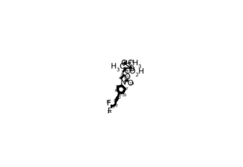 C[C@@](C[C@H]1CN(c2ccc(C#CCC(F)F)cc2)C(=O)O1)(C(=O)O)S(C)(=O)=O